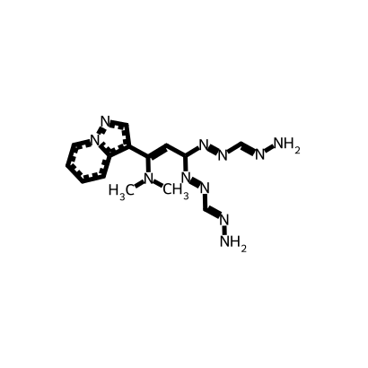 CN(C)/C(=C\C(N=NC=NN)N=NC=NN)c1cnn2ccccc12